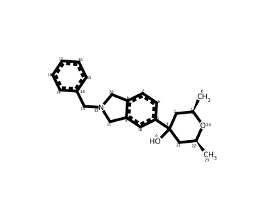 C[C@@H]1CC(O)(c2ccc3c(c2)CN(Cc2ccccc2)C3)C[C@H](C)O1